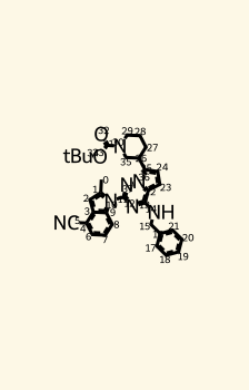 Cc1cc2c(C#N)cccc2n1-c1nc(NCc2ccccc2)c2ccc(C3CCCN(C(=O)OC(C)(C)C)C3)n2n1